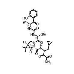 CC(C)[C@H](NC(=O)N[C@H](C(=O)N1C[C@H]2[C@@H]([C@H]1C(=O)NC(CC1CC1)C(=O)C(N)=O)C2(C)C)C(C)(C)C)C(=O)c1ccccc1O